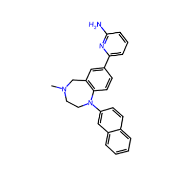 CN1CCN(c2ccc3ccccc3c2)c2ccc(-c3cccc(N)n3)cc2C1